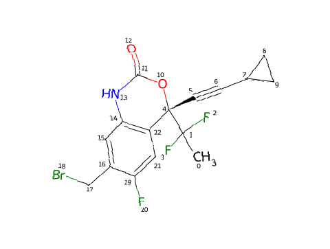 CC(F)(F)[C@@]1(C#CC2CC2)OC(=O)Nc2cc(CBr)c(F)cc21